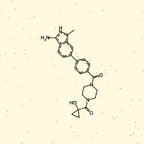 Cc1[nH]c(N)c2ccc(-c3ccc(C(=O)N4CCN(C(=O)C5(O)CC5)CC4)cc3)cc12